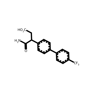 NC(=O)C(CC(=O)O)c1ccc(-c2ccc(C(F)(F)F)cc2)cc1